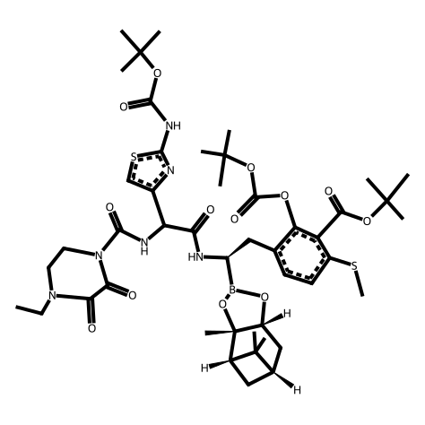 CCN1CCN(C(=O)NC(C(=O)N[C@@H](Cc2ccc(SC)c(C(=O)OC(C)(C)C)c2OC(=O)OC(C)(C)C)B2O[C@@H]3C[C@@H]4C[C@@H](C4(C)C)[C@]3(C)O2)c2csc(NC(=O)OC(C)(C)C)n2)C(=O)C1=O